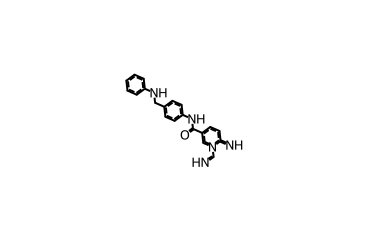 N=Cn1cc(C(=O)Nc2ccc(CNc3ccccc3)cc2)ccc1=N